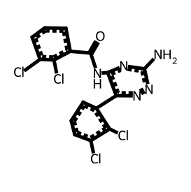 Nc1nnc(-c2cccc(Cl)c2Cl)c(NC(=O)c2cccc(Cl)c2Cl)n1